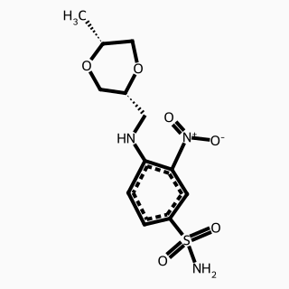 C[C@@H]1CO[C@H](CNc2ccc(S(N)(=O)=O)cc2[N+](=O)[O-])CO1